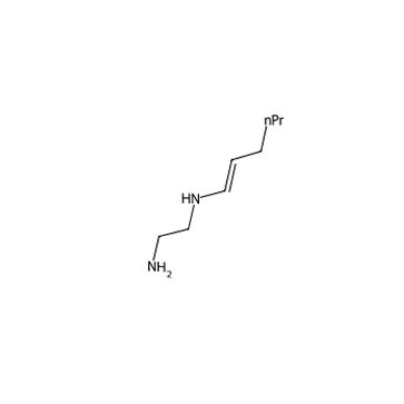 CCCCC=CNCCN